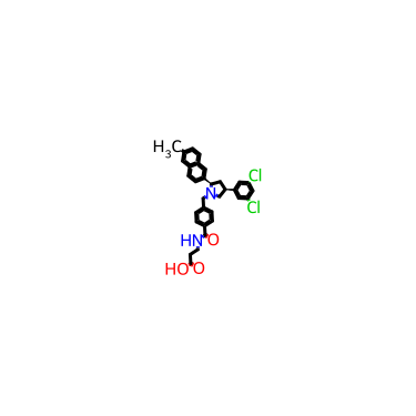 Cc1ccc2cc([C@H]3C[C@@H](c4cc(Cl)cc(Cl)c4)CN3Cc3ccc(C(=O)NCCC(=O)O)cc3)ccc2c1